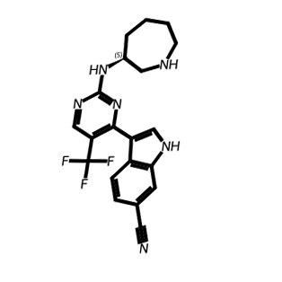 N#Cc1ccc2c(-c3nc(N[C@H]4CCCCNC4)ncc3C(F)(F)F)c[nH]c2c1